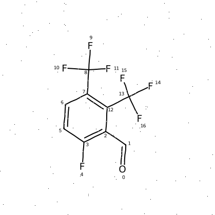 O=Cc1c(F)ccc(C(F)(F)F)c1C(F)(F)F